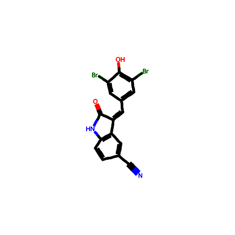 N#Cc1ccc2c(c1)C(=Cc1cc(Br)c(O)c(Br)c1)C(=O)N2